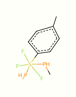 CPS(F)(F)(F)(P)c1ccc(C)cc1